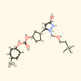 C[Si](C)(C)CCOCn1nc(Br)cc1[C@H]1CC[C@@H](OC(=O)Oc2ccc([N+](=O)[O-])cc2)C1